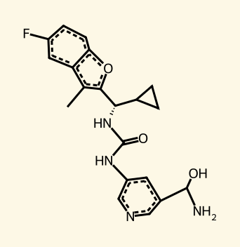 Cc1c([C@@H](NC(=O)Nc2cncc(C(N)O)c2)C2CC2)oc2ccc(F)cc12